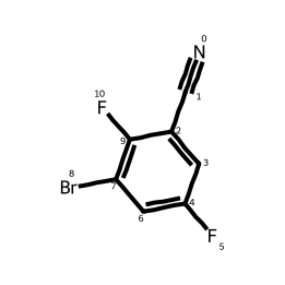 N#Cc1cc(F)cc(Br)c1F